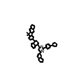 CC1(C)c2ccc(-c3ccc(-c4cc(-c5ccc6ccccc6c5)nc(-c5ccc(-c6ccccc6)cc5)n4)c4ccccc34)cc2-c2cc3ccccc3cc21